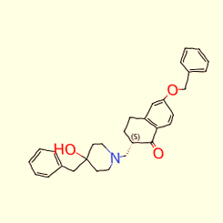 O=C1c2ccc(OCc3ccccc3)cc2CC[C@H]1CN1CCC(O)(Cc2ccccc2)CC1